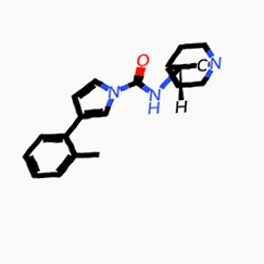 Cc1ccccc1-c1ccn(C(=O)N[C@H]2CN3CCC2CC3)c1